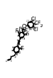 C=CCCc1ccc(C#Cc2cc(F)c(C(F)(F)Oc3cc(Cl)c(C(F)(F)F)c(Cl)c3)c(F)c2)c(F)c1